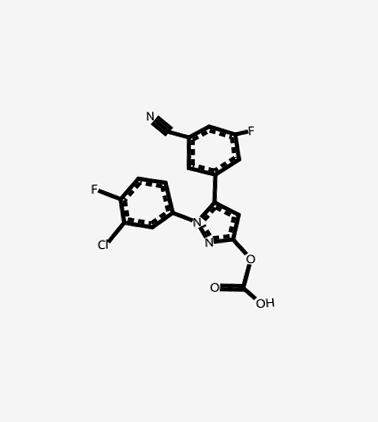 N#Cc1cc(F)cc(-c2cc(OC(=O)O)nn2-c2ccc(F)c(Cl)c2)c1